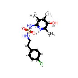 Cc1nc(NS(=O)(=O)NCCc2ccc(Cl)cc2)c(C)c(C)c1O